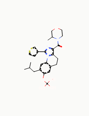 CC(C)Cc1cc2c(cc1OC(O)(O)O)CCc1c(C(=O)N3CCOCC3C)nc(-c3ccsc3)n1-2